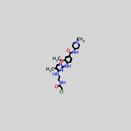 COc1cc(C(=O)NC2CCN(C)CC2)ccc1Nc1ncc(C)c(NCCNC(=O)CCl)n1